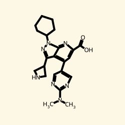 CN(C)c1ncc(-c2cc(C(=O)O)nc3c2c(C2CNC2)nn3C2CCCCC2)cn1